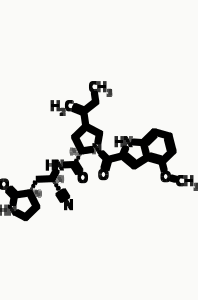 C=C(CC)C1C[C@@H](C(=O)N[C@H](C#N)C[C@@H]2CCNC2=O)N(C(=O)c2cc3c(OC)cccc3[nH]2)C1